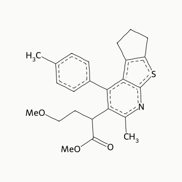 COCCC(C(=O)OC)c1c(C)nc2sc3c(c2c1-c1ccc(C)cc1)CCC3